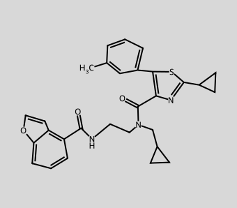 Cc1cccc(-c2sc(C3CC3)nc2C(=O)N(CCNC(=O)c2cccc3occc23)CC2CC2)c1